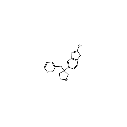 N#CC1=Cc2cc(C3(Cc4ccccc4)CCNC3)ccc2C1